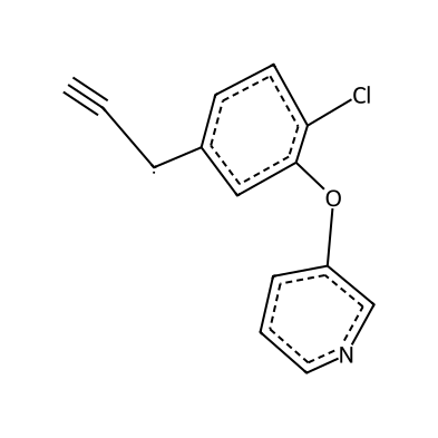 C#C[CH]c1ccc(Cl)c(Oc2cccnc2)c1